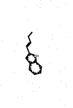 CC/C=C/c1cc2ccccc2[nH]1